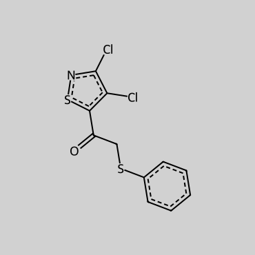 O=C(CSc1ccccc1)c1snc(Cl)c1Cl